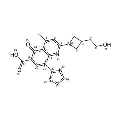 Cc1cc(N2CC(CCO)C2)nc2c1c(=O)c(C(=O)O)cn2-c1nccs1